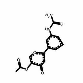 CC(=O)Oc1coc(-c2cccc(NC(N)=O)c2)cc1=O